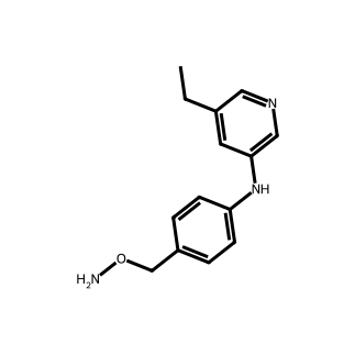 CCc1cncc(Nc2ccc(CON)cc2)c1